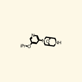 CC(C)Oc1cncc(N2CC3CNCC(C2)O3)c1